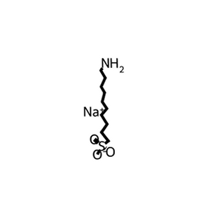 NCCCCCCCCCCS(=O)(=O)[O-].[Na+]